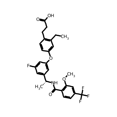 CCc1cc(Oc2cc(F)cc([C@@H](C)NC(=O)c3ccc(C(F)(F)F)cc3OC)c2)ccc1CCC(=O)O